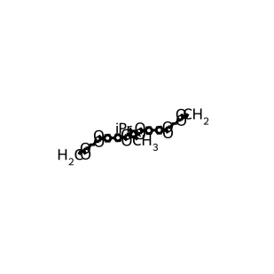 C=CC(=O)OCCCCOC(=O)C1CCC(C2CCC(C(=O)Oc3cc(C(C)C)c(OC(=O)C4CCC(C5CCC(C(=O)OCCCCOC(=O)C=C)CC5)CC4)cc3C)CC2)CC1